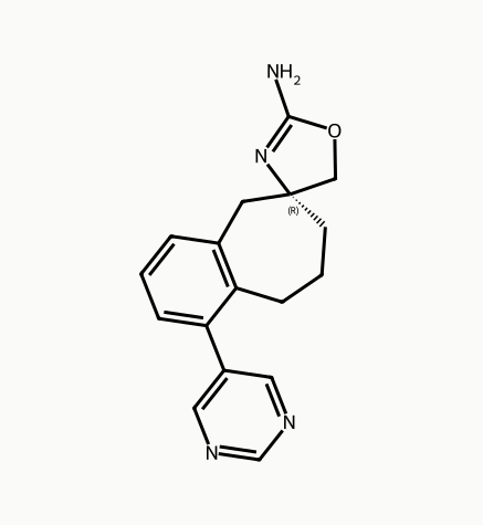 NC1=N[C@@]2(CCCc3c(cccc3-c3cncnc3)C2)CO1